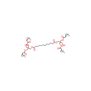 C=CC(=O)OCC(CO)(COC(=O)C=C)COC(=O)CCCCCCCCCCC(=O)OCC(CO)(COC(=O)C=C)COC(=O)C=C